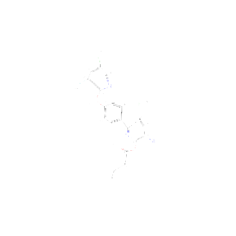 CCCC(=O)Oc1nc(-c2ccc(Oc3ncc(Cl)cc3F)cc2)ccc1N.Cl